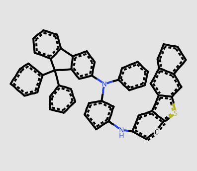 c1ccc(N(c2cccc(Nc3ccc4sc5cc6ccccc6cc5c4c3)c2)c2ccc3c(c2)C(c2ccccc2)(c2ccccc2)c2ccccc2-3)cc1